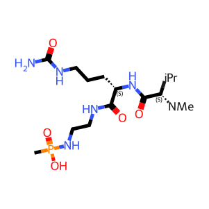 CN[C@H](C(=O)N[C@@H](CCCNC(N)=O)C(=O)NCCNP(C)(=O)O)C(C)C